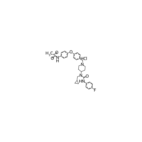 CS(=O)(=O)Nc1ccc(Oc2ccc(CN3CCC(N(CC4CC4)C(=O)Nc4ccc(F)cc4)CC3)cc2)cc1.Cl